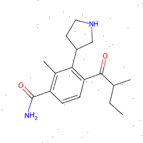 CCC(C)C(=O)c1ccc(C(N)=O)c(C)c1C1CCNC1